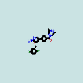 CC1CN(C(=O)c2ccc(-c3cnc(N)c(OCc4cc(F)ccc4F)c3)cc2)CC(C)N1